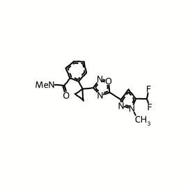 CNC(=O)c1ccccc1C1(c2noc(-c3cc(C(F)F)n(C)n3)n2)CC1